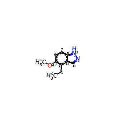 CCc1c(OC)ccc2[nH]ncc12